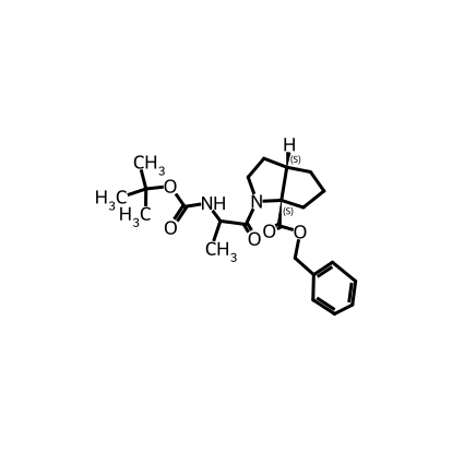 CC(NC(=O)OC(C)(C)C)C(=O)N1CC[C@@H]2CCC[C@@]21C(=O)OCc1ccccc1